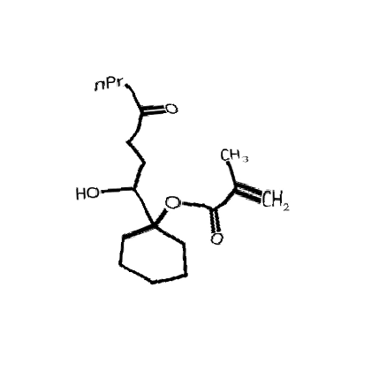 C=C(C)C(=O)OC1(C(O)CCC(=O)CCC)CCCCC1